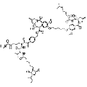 C=C1C[C@H]2C(O)N(C(=O)OCCSSC(C)C)c3cc(OCCCCCOc4cc5c(cc4OC)C(=O)N4CC(=C)C[C@H]4C(O)N5C(=O)OCc4ccc(NC(=O)[C@H](CCCNC(N)=O)NC(=O)[C@@H](NC(=O)CCCCCN5C(=O)CC(C(C)CC)C5=O)C(C)C)cc4)c(OC)cc3C(=O)N2C1